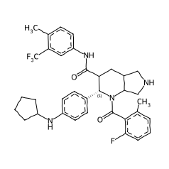 Cc1ccc(NC(=O)C2CC3CNCC3N(C(=O)c3c(C)cccc3F)[C@@H]2c2ccc(NC3CCCC3)cc2)cc1C(F)(F)F